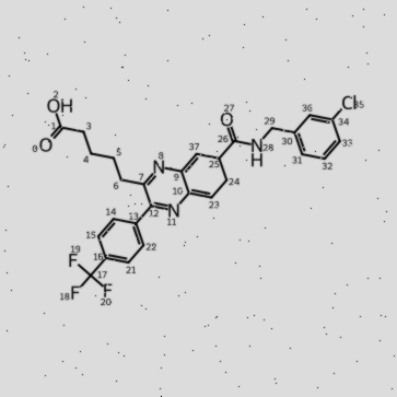 O=C(O)CCCCc1nc2c(nc1-c1ccc(C(F)(F)F)cc1)=CCC(C(=O)NCc1cccc(Cl)c1)C=2